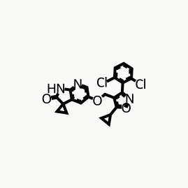 O=C1Nc2ncc(OCc3c(-c4c(Cl)cccc4Cl)noc3C3CC3)cc2C12CC2